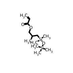 C=CC(=O)OCC(C)C[Si](C)(C)O[Si](C)(C)C